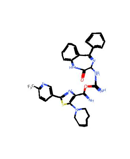 N=C(NC1N=C(c2ccccc2)c2ccccc2NC1=O)OC(=N)c1nc(-c2ccc(C(F)(F)F)nc2)sc1N1CCCCC1